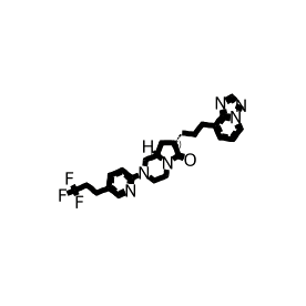 O=C1[C@@H](CCCc2cccn3ncnc23)C[C@H]2CN(c3ccc(CCC(F)(F)F)cn3)CCN12